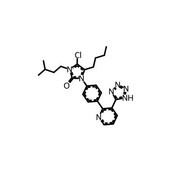 CCCCc1c(Cl)n(CCC(C)C)c(=O)n1-c1ccc(-c2ncccc2-c2nnn[nH]2)cc1